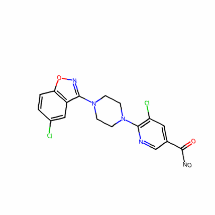 O=NC(=O)c1cnc(N2CCN(c3noc4ccc(Cl)cc34)CC2)c(Cl)c1